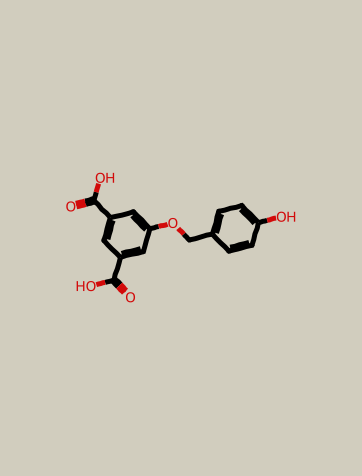 O=C(O)c1cc(OCc2ccc(O)cc2)cc(C(=O)O)c1